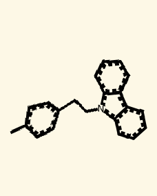 Cc1ccc(CCn2c3ccccc3c3ccccc32)cc1